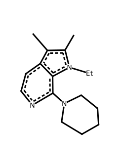 CCn1c(C)c(C)c2ccnc(N3CCCCC3)c21